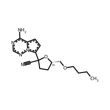 CCCCOC[C@@H]1CCC(C#N)(c2ccc3c(N)ncnn23)O1